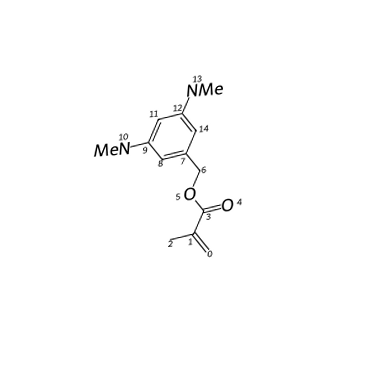 C=C(C)C(=O)OCc1cc(NC)cc(NC)c1